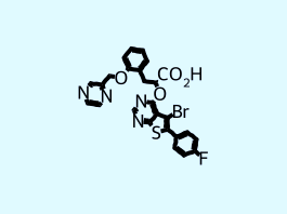 O=C(O)[C@@H](Cc1ccccc1OCc1cnccn1)Oc1ncnc2sc(-c3ccc(F)cc3)c(Br)c12